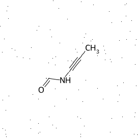 CC#CN[C]=O